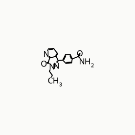 CCCn1nc(-c2ccc(C(N)=O)cc2)c2cccnc2c1=O